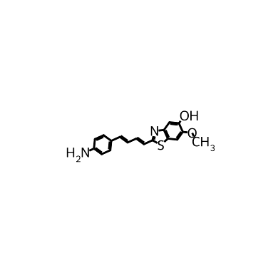 COc1cc2sc(/C=C/C=C/c3ccc(N)cc3)nc2cc1O